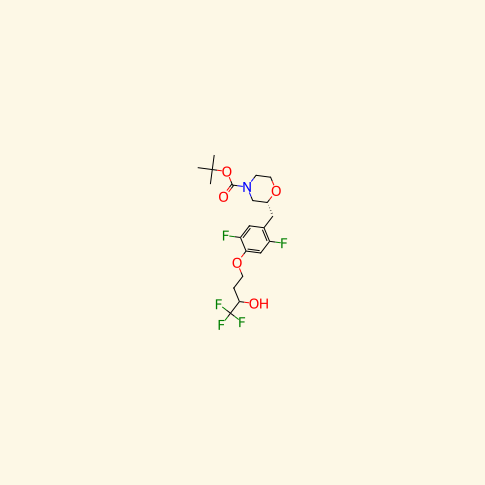 CC(C)(C)OC(=O)N1CCO[C@H](Cc2cc(F)c(OCCC(O)C(F)(F)F)cc2F)C1